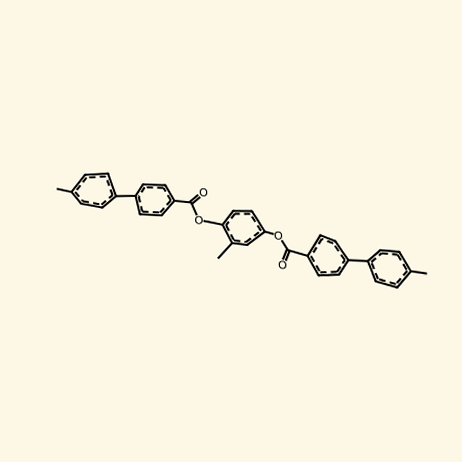 Cc1ccc(-c2ccc(C(=O)Oc3ccc(OC(=O)c4ccc(-c5ccc(C)cc5)cc4)c(C)c3)cc2)cc1